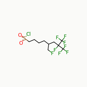 O=S(=O)(Cl)CCCCC(CF)CC(F)(C(F)(F)F)C(F)(F)F